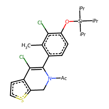 CC(=O)N1Cc2sccc2C(Cl)=C1c1ccc(O[Si](C(C)C)(C(C)C)C(C)C)c(Cl)c1C